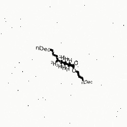 [2H]C(CCCCCCCCCCCCC)C([2H])([2H])C([2H])([2H])C([2H])([2H])C(=O)OCCCCCCCCCCCCC